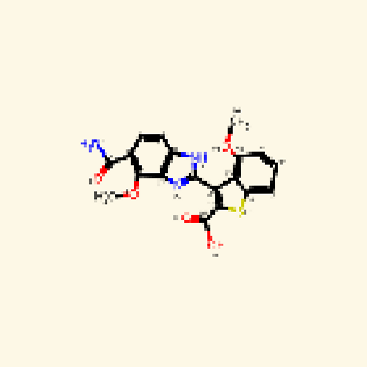 COc1c(C(N)=O)ccc2[nH]c(-c3c(C(=O)O)sc4cccc(OC)c34)nc12